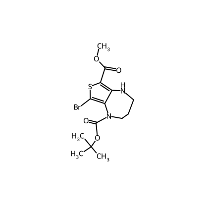 COC(=O)c1sc(Br)c2c1NCCCN2C(=O)OC(C)(C)C